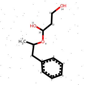 CC(Cc1ccccc1)OC(O)CCO